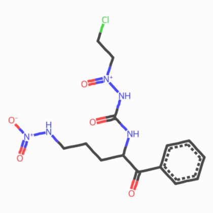 O=C(NC(CCCN[N+](=O)[O-])C(=O)c1ccccc1)N[N+](=O)CCCl